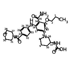 CCCOc1nc(N2CCCC(NC(=O)O)C2)cc(Nc2ccc(C(=O)N3CCOCC3)cc2)c1C(N)=O